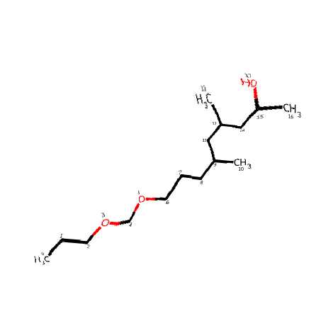 CCCOCOCCCC(C)CC(C)CC(C)O